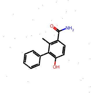 Cc1c(C(N)=O)ccc(O)c1-c1ccccc1